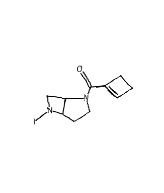 O=C(C1=CCC1)N1CCC2C1CN2I